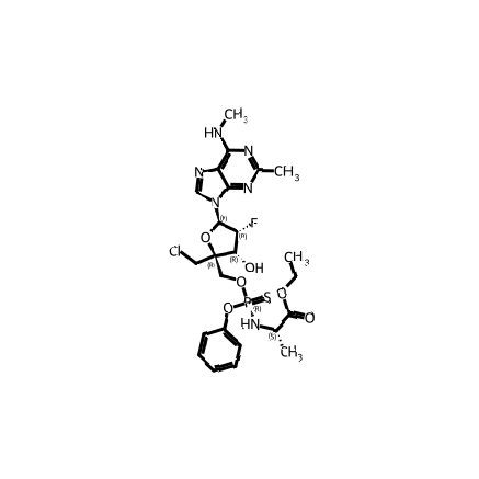 CCOC(=O)[C@H](C)N[P@@](=S)(OC[C@@]1(CCl)O[C@@H](n2cnc3c(NC)nc(C)nc32)[C@H](F)[C@@H]1O)Oc1ccccc1